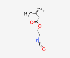 C=C(C)CC(=O)OCCN=C=O